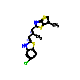 CC(/C=C1/Nc2cc(Cl)ccc2S1)=C\c1nc2scc(C)c2s1